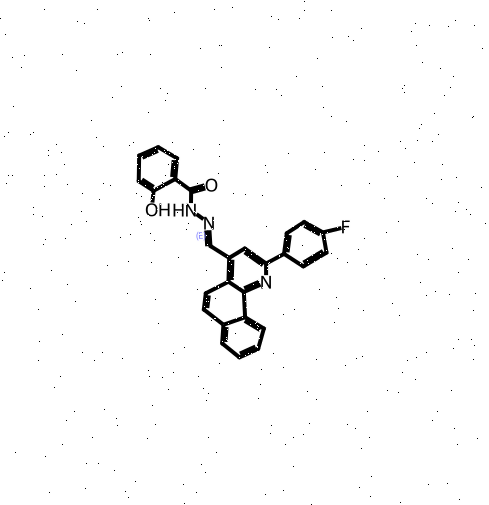 O=C(N/N=C/c1cc(-c2ccc(F)cc2)nc2c1ccc1ccccc12)c1ccccc1O